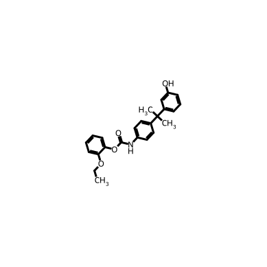 CCOc1ccccc1OC(=O)Nc1ccc(C(C)(C)c2cccc(O)c2)cc1